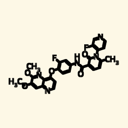 COc1cc2nccc(Oc3ccc(NC(=O)c4ccc(C)n(-c5ccncc5F)c4=O)cc3F)c2nc1OC